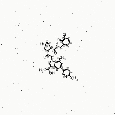 Cc1ncc(-c2cc(C)c3c(c2)c(C(C)O)nn3CC(=O)N2C[C@H]3C=C3[C@H]2C(=O)NCc2cccc(Cl)c2F)cn1